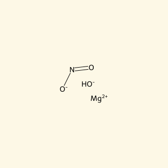 O=N[O-].[Mg+2].[OH-]